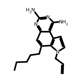 C=CCn1ccc2c3c(N)nc(N)nc3cc(CCCCC)c21